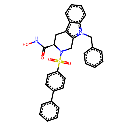 O=C(NO)[C@H]1Cc2c(n(Cc3ccccc3)c3ccccc23)CN1S(=O)(=O)c1ccc(-c2ccccc2)cc1